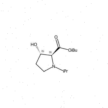 CC(C)COC(=O)[C@@H]1[C@@H](O)CCN1C(C)C